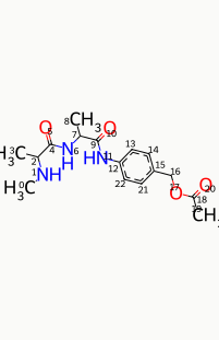 CNC(C)C(=O)NC(C)C(=O)Nc1ccc(COC(C)=O)cc1